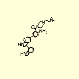 CN(C)CCN1CCN(C(=O)c2cc(-c3cnc4[nH]cc(-c5cccc6cc[nH]c56)c4c3)ccc2N)CC1